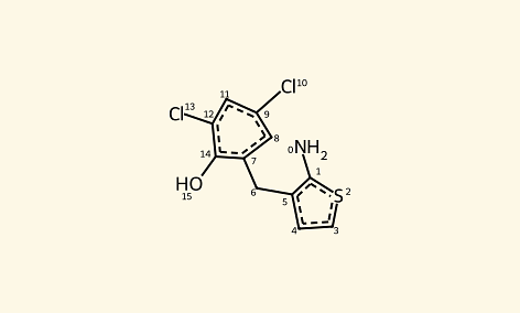 Nc1sccc1Cc1cc(Cl)cc(Cl)c1O